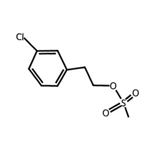 CS(=O)(=O)OCCc1cccc(Cl)c1